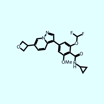 COc1cc(-c2cnn3cc(C4COC4)ccc23)cc(OC(F)F)c1C(=O)NC1CC1